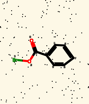 O=C(OBr)c1ccccc1